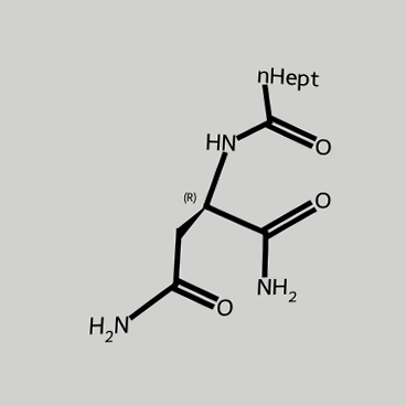 CCCCCCCC(=O)N[C@H](CC(N)=O)C(N)=O